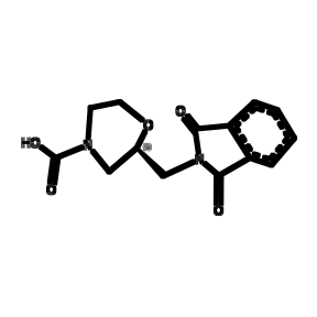 O=C(O)N1CCO[C@@H](CN2C(=O)c3ccccc3C2=O)C1